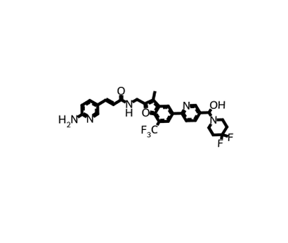 Cc1c(CNC(=O)/C=C/c2ccc(N)nc2)oc2c(C(F)(F)F)cc(-c3ccc(C(O)N4CCC(F)(F)CC4)cn3)cc12